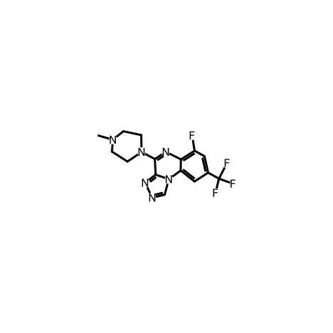 CN1CCN(c2nc3c(F)cc(C(F)(F)F)cc3n3cnnc23)CC1